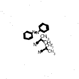 CC(C)C#N.CC(C)C#N.c1ccc(N=Nc2ccccc2)cc1